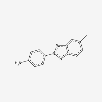 Cc1ccc2nn(-c3ccc(N)cc3)nc2c1